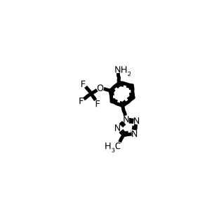 Cc1nnn(-c2ccc(N)c(OC(F)(F)F)c2)n1